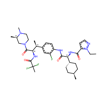 CCn1nccc1C(=O)N[C@H](C(=O)Nc1ccc([C@H](C)[C@@H](NC(=O)C(C)(F)F)C(=O)N2CCN(C)[C@H](C)C2)cc1F)[C@H]1CC[C@H](C)CC1